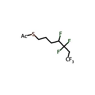 CC(=O)SCCCC(F)C(F)(F)CC(F)(F)F